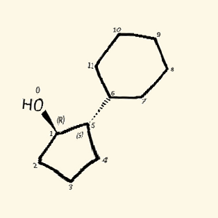 O[C@@H]1CCC[C@H]1C1CCCCC1